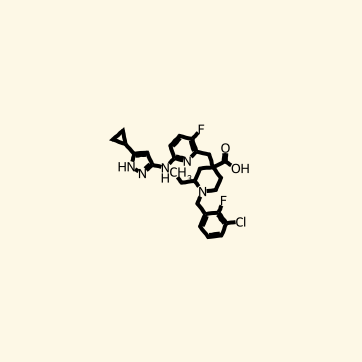 CCC1CC(Cc2nc(Nc3cc(C4CC4)[nH]n3)ccc2F)(C(=O)O)CCN1Cc1cccc(Cl)c1F